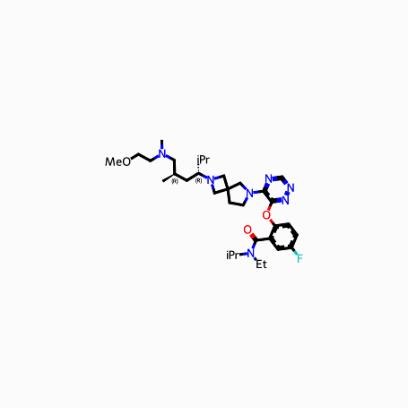 CCN(C(=O)c1cc(F)ccc1Oc1nncnc1N1CCC2(C1)CN([C@H](C[C@@H](C)CN(C)CCOC)C(C)C)C2)C(C)C